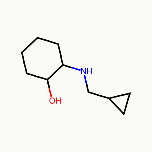 OC1CCCCC1NCC1CC1